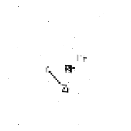 [Pt].[Rh].[Zr][Ir]